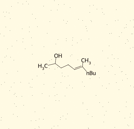 CCCCC(C)=CCCC(C)O